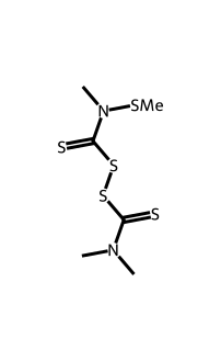 CSN(C)C(=S)SSC(=S)N(C)C